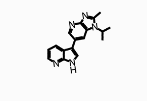 Cc1nc2ncc(-c3c[nH]c4ncccc34)cc2n1C(C)C